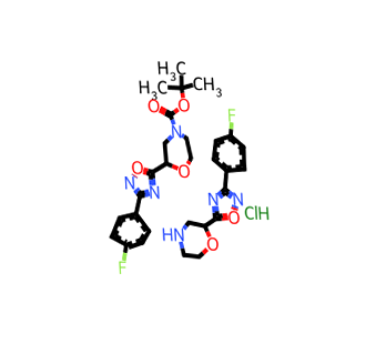 CC(C)(C)OC(=O)N1CCOC(c2nc(-c3ccc(F)cc3)no2)C1.Cl.Fc1ccc(-c2noc(C3CNCCO3)n2)cc1